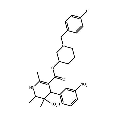 CC1=C(C(=O)OC2CCCN(Cc3ccc(F)cc3)C2)C(c2cccc([N+](=O)[O-])c2)C(C)(C(=O)O)C(C)N1